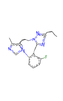 CCc1nc2n(n1)Cc1c(C)ncn1-c1cccc(F)c1-2